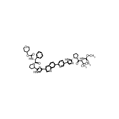 COC(=O)N[C@H](C(=O)N1CCC[C@H]1c1ncc(-c2ccc(-c3ccc4cc(-c5c[nH]c(C6CCCN6C(=O)[C@H](NC(=O)OC6CCOCC6)c6ccccc6)n5)cnc4c3)nc2)[nH]1)C(C)C